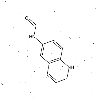 O=CNc1ccc2c(c1)C=CCN2